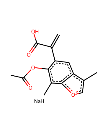 C=C(C(=O)O)c1cc2c(C)coc2c(C)c1OC(C)=O.[NaH]